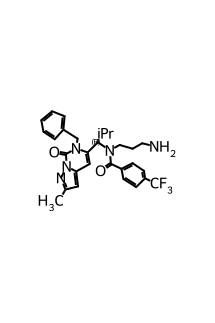 Cc1cc2cc([C@@H](C(C)C)N(CCCN)C(=O)c3ccc(C(F)(F)F)cc3)n(Cc3ccccc3)c(=O)n2n1